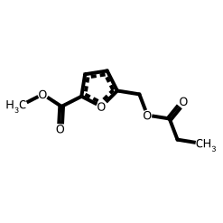 CCC(=O)OCc1ccc(C(=O)OC)o1